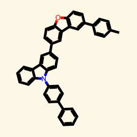 Cc1ccc(-c2ccc3oc4ccc(-c5ccc6c(c5)c5ccccc5n6-c5ccc(-c6ccccc6)cc5)cc4c3c2)cc1